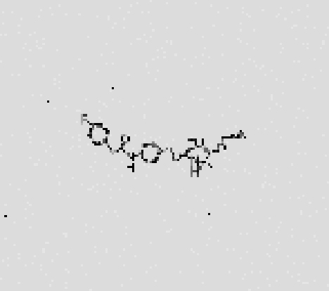 C[C@@H](NC(=O)OCc1ccc(NC(=O)Cc2ccc(F)cc2)cc1)C(=O)OCC#N